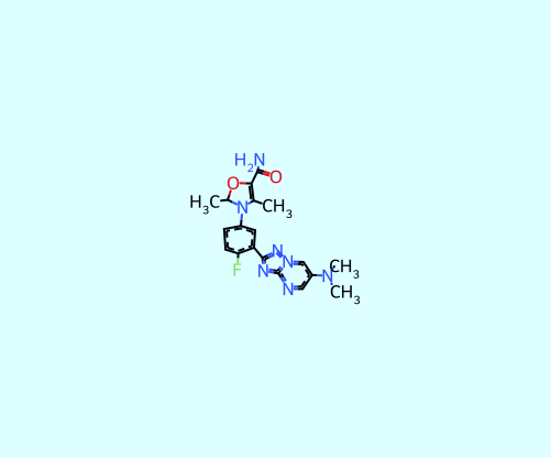 CC1=C(C(N)=O)OC(C)N1c1ccc(F)c(-c2nc3ncc(N(C)C)cn3n2)c1